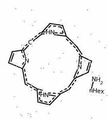 C1=Cc2cc3ccc(cc4nc(cc5ccc(cc1n2)[nH]5)C=C4)[nH]3.CCCCCCN